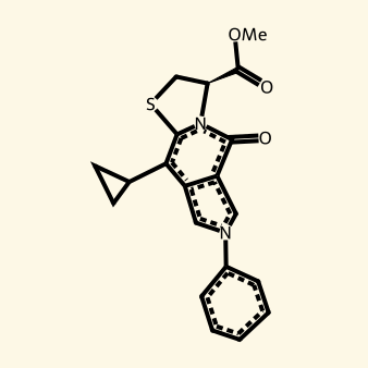 COC(=O)[C@@H]1CSc2c(C3CC3)c3cn(-c4ccccc4)cc3c(=O)n21